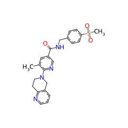 Cc1cc(C(=O)NCc2ccc(S(C)(=O)=O)cc2)cnc1N1CCc2ncccc2C1